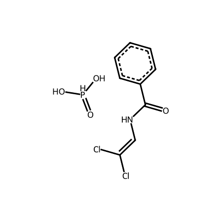 O=C(NC=C(Cl)Cl)c1ccccc1.O=[PH](O)O